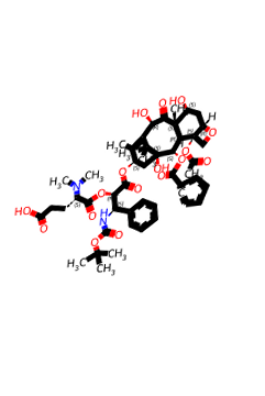 CC(=O)O[C@@]12CO[C@@H]1C[C@H](O)[C@@]1(C)C(=O)[C@H](O)C3=C(C)[C@@H](OC(=O)[C@H](OC(=O)[C@H](CCC(=O)O)N(C)C)[C@@H](NC(=O)OC(C)(C)C)c4ccccc4)C[C@@](O)([C@@H](OC(=O)c4ccccc4)[C@H]21)C3(C)C